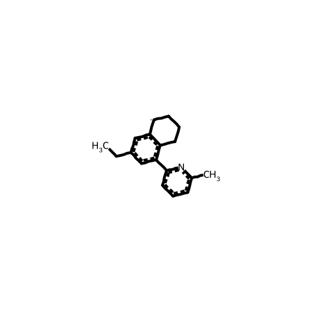 CCc1cc2c(c(-c3cccc(C)n3)c1)CCC[CH]2